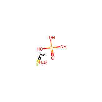 O.O=P(O)(O)O.[S]=[Mo]